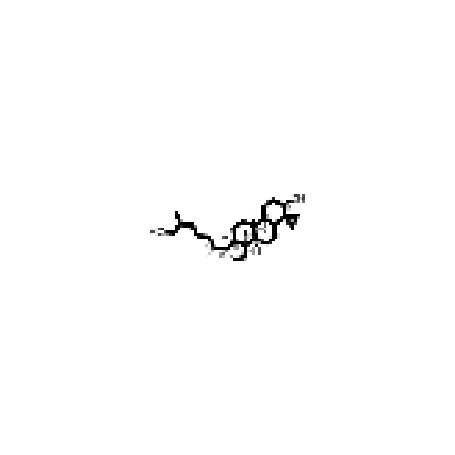 CC(=CCC[C@@H](C)[C@H]1CC[C@H]2[C@@H]3CC=C4C5(CC5)[C@H](O)CC[C@]4(C)[C@H]3CC[C@]12C)CO